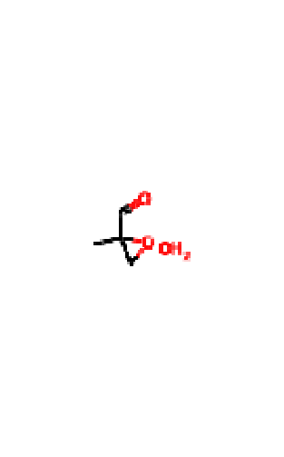 CC1(C=O)CO1.O